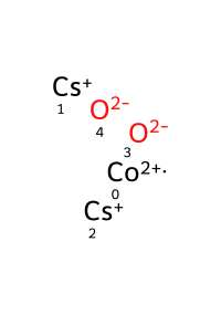 [Co+2].[Cs+].[Cs+].[O-2].[O-2]